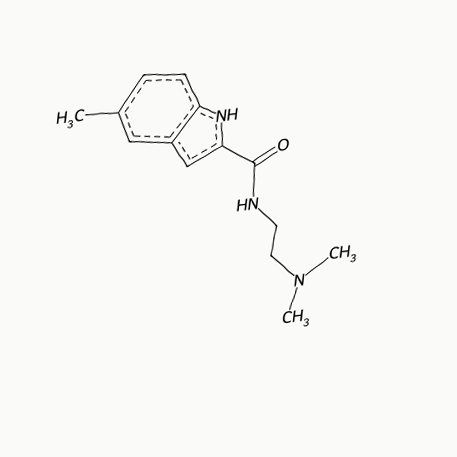 Cc1ccc2[nH]c(C(=O)NCCN(C)C)cc2c1